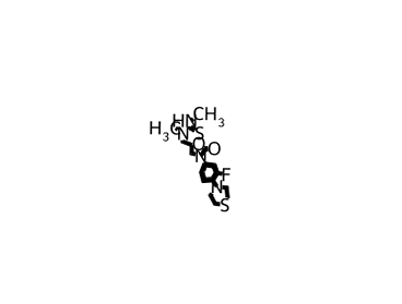 CNC(=S)N(C)CC1CN(c2ccc(N3CCSCC3)c(F)c2)C(=O)O1